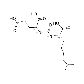 CN(C)CCCC[C@H](NC(=O)N[C@@H](CCC(=O)O)C(=O)O)C(=O)O